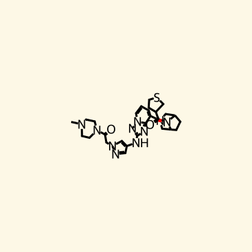 CN1CCN(C(=O)Cn2cc(Nc3nc4c(N5CC6CCC(C5)N6C(=O)C5CCSC5)cccn4n3)cn2)CC1